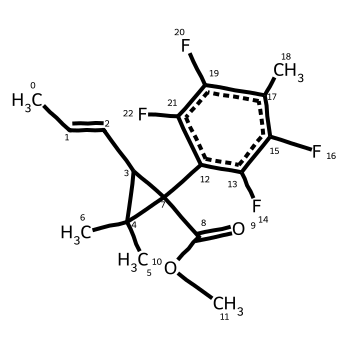 CC=CC1C(C)(C)C1(C(=O)OC)c1c(F)c(F)c(C)c(F)c1F